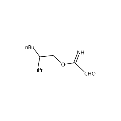 CCCCC(COC(=N)C=O)C(C)C